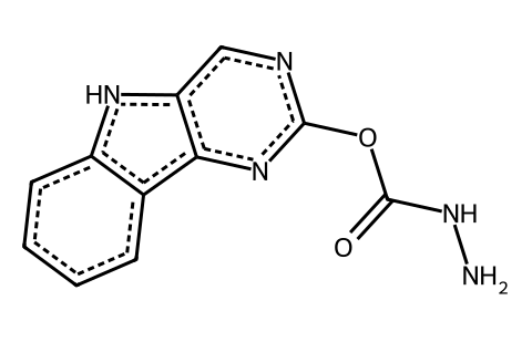 NNC(=O)Oc1ncc2[nH]c3ccccc3c2n1